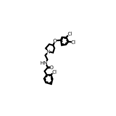 O=C(Cc1ccccc1Cl)NCCN1CCC(Oc2ccc(Cl)c(Cl)c2)CC1